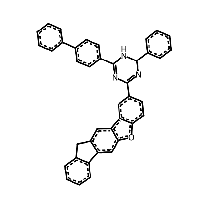 c1ccc(-c2ccc(C3=NC(c4ccc5oc6cc7c(cc6c5c4)Cc4ccccc4-7)=NC(c4ccccc4)N3)cc2)cc1